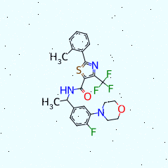 Cc1ccccc1-c1nc(C(F)(F)F)c(C(=O)NC(C)c2ccc(F)c(N3CCOCC3)c2)s1